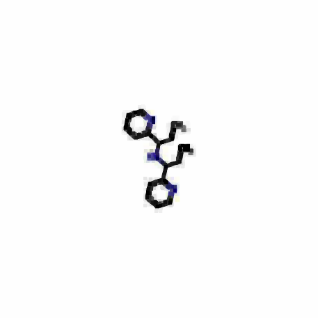 C=CC(NC(C=C)c1ccccn1)c1ccccn1